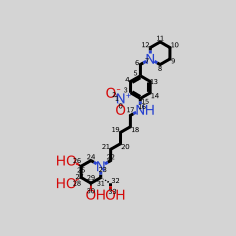 O=[N+]([O-])c1cc(CN2CCCCC2)ccc1NCCCCCCN1C[C@H](O)[C@@H](O)[C@H](O)[C@H]1CO